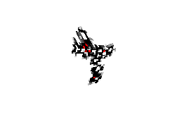 CC1(C)c2ccccc2-c2ccc(N(c3ccc(-c4ccc(C56CC7CC(CC(C7)C5)C6)cc4)cc3-c3ccc4ccccc4c3)c3ccccc3-c3cccc4ccccc34)cc21